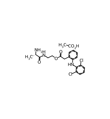 CC(=O)O.C[C@H](N)C(=O)NCCOC(=O)Cc1ccccc1Nc1c(Cl)cccc1Cl